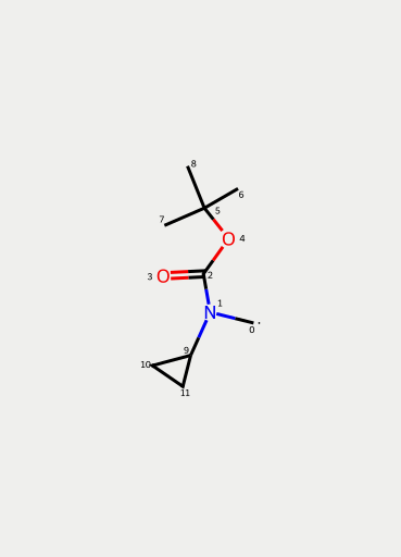 [CH2]N(C(=O)OC(C)(C)C)C1CC1